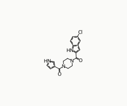 O=C(c1cc[nH]c1)N1CCN(C(=O)c2cc3cc(Cl)ccc3[nH]2)CC1